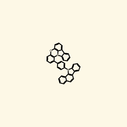 c1cc2c(c(-c3ccc(-n4c5ccccc5c5ccc6ccccc6c54)cc3)c1)-n1c3ccccc3c3cccc(c31)O2